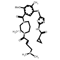 COc1cc(C)c(Sc2cnc(NC(=O)C3CC3)s2)cc1C(=O)N1CCCN(C(=O)/C=C/CN(C)C)[C@H](C)C1